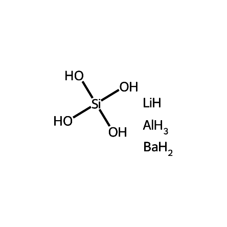 O[Si](O)(O)O.[AlH3].[BaH2].[LiH]